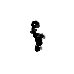 CC(Cc1cc2cc(-c3ncccc3Cl)ccc2nc1N)C(=O)NCC1CCCCO1